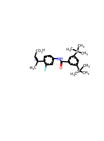 C/C(=C/C(=O)O)c1ccc(NC(=O)c2cc([Si](C)(C)C)cc([Si](C)(C)C)c2)cc1F